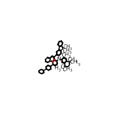 Cc1cc2c(cc1N(c1ccc(-c3ccc(-c4ccccc4)cc3)cc1)c1cc3c(cc1-c1ccc4ccccc4c1)-c1ccccc1C3(C)C)C(C)(C)CCC2(C)C